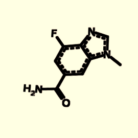 Cn1cnc2c(F)cc(C(N)=O)cc21